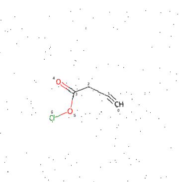 C#CCC(=O)OCl